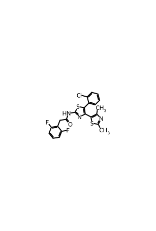 Cc1nc(C)c(-c2nc(NC(=O)Cc3c(F)cccc3F)sc2-c2ccccc2Cl)s1